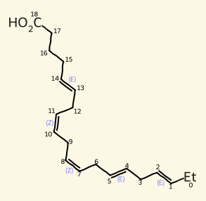 CC/C=C/C/C=C/C/C=C\C/C=C\C/C=C/CCCC(=O)O